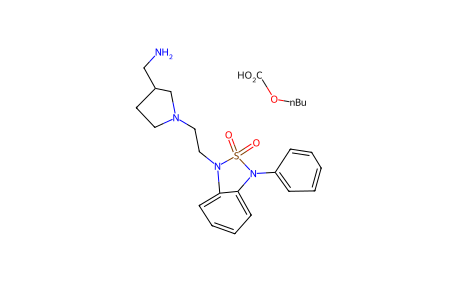 CCCCOC(=O)O.NCC1CCN(CCN2c3ccccc3N(c3ccccc3)S2(=O)=O)C1